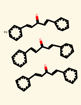 O=C(C=Cc1ccccc1)C=Cc1ccccc1.O=C(C=Cc1ccccc1)C=Cc1ccccc1.O=C(C=Cc1ccccc1)C=Cc1ccccc1.[Pd]